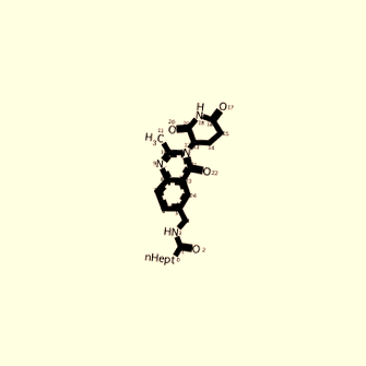 CCCCCCCC(=O)NCc1ccc2nc(C)n(C3CCC(=O)NC3=O)c(=O)c2c1